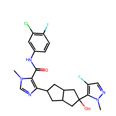 Cn1cnc(C2CC3CC(O)(c4c(F)cnn4C)CC3C2)c1C(=O)Nc1ccc(F)c(Cl)c1